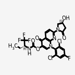 CC[C@@H](NC(=O)Oc1cn(-c2c(Cl)cc(F)cc2Cl)c2nc(N3C[C@@H](O)CC3=O)ccc2c1=O)C(F)(F)F